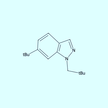 CC(C)(C)Cn1ncc2ccc(C(C)(C)C)cc21